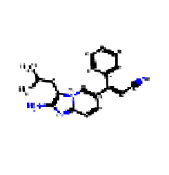 CC(C)Cc1c(N)nc2ccc(C(=CC#N)c3ccccc3)cn12